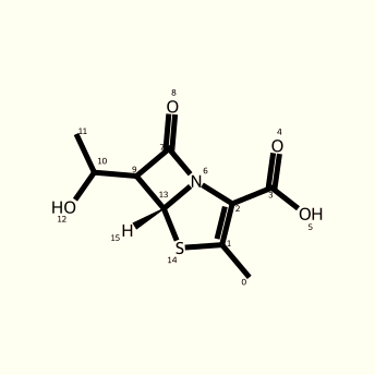 CC1=C(C(=O)O)N2C(=O)C(C(C)O)[C@H]2S1